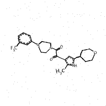 Cc1[nH]c(C2CCOCC2)cc1C(=O)C(=O)N1CCN(c2cccc(C(F)(F)F)c2)CC1